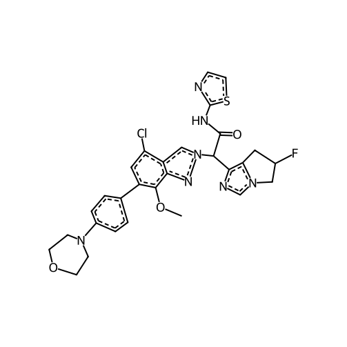 COc1c(-c2ccc(N3CCOCC3)cc2)cc(Cl)c2cn(C(C(=O)Nc3nccs3)c3ncn4c3CC(F)C4)nc12